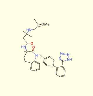 CO[C@H](C)CNC(C)(C)CC(=O)N[C@@H]1CCc2ccccc2N(Cc2ccc(-c3ccccc3-c3nnn[nH]3)cc2)C1=O